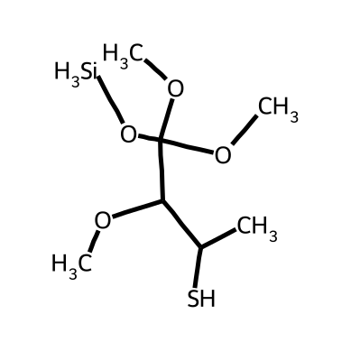 COC(C(C)S)C(OC)(OC)O[SiH3]